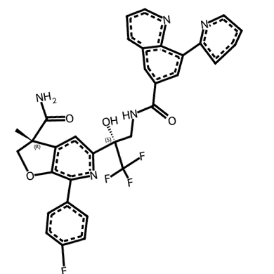 C[C@]1(C(N)=O)COc2c1cc([C@@](O)(CNC(=O)c1cc(-c3ccccn3)c3ncccc3c1)C(F)(F)F)nc2-c1ccc(F)cc1